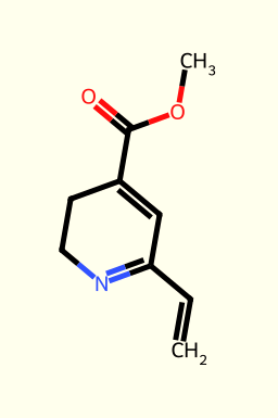 C=CC1=NCCC(C(=O)OC)=C1